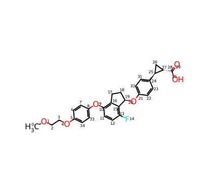 COCCOc1ccc(Oc2ccc(F)c3c2CC[C@H]3Oc2ccc([C@H]3C[C@@H]3C(=O)O)cc2)cc1